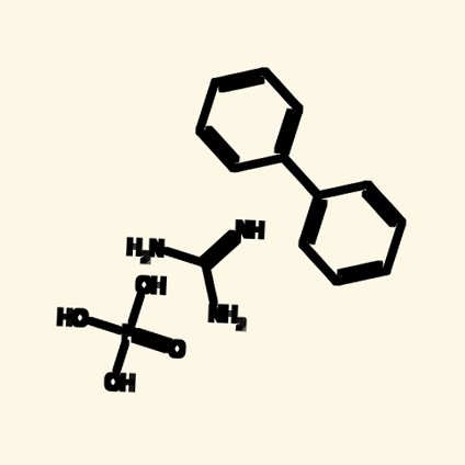 N=C(N)N.O=P(O)(O)O.c1ccc(-c2ccccc2)cc1